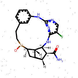 NC(=O)[C@H]1[C@H]2C[C@H]3[C@H]1Nc1nc(ncc1F)Nc1cccc(c1)CC[S+]([O-])[C@@H]3C2